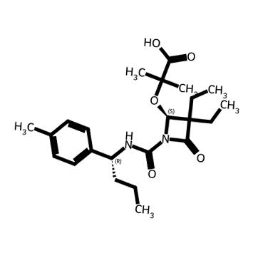 CCC[C@@H](NC(=O)N1C(=O)C(CC)(CC)[C@@H]1OC(C)(C)C(=O)O)c1ccc(C)cc1